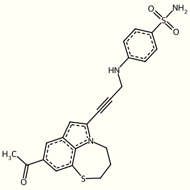 CC(=O)c1cc2c3c(c1)cc(C#CCNc1ccc(S(N)(=O)=O)cc1)n3CCCS2